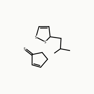 CC(C)CC1C=CSS1.S=C1C=CCC1